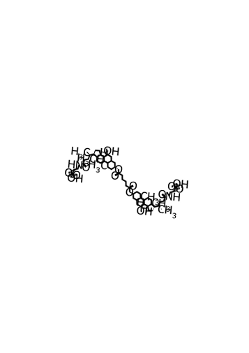 C[C@H](CCC(=O)NCCS(=O)(=O)O)[C@H]1CC[C@H]2[C@H]3C(CC[C@]12C)[C@@]1(C)CC[C@@H](OC(=O)CCCCC(=O)O[C@H]2CC[C@]4(C)C(C2)C[C@@H](O)[C@@H]2C5CC[C@@H]([C@@H](C)CCC(=O)NCCS(=O)(=O)O)[C@]5(C)CC[C@H]24)CC1C[C@@H]3O